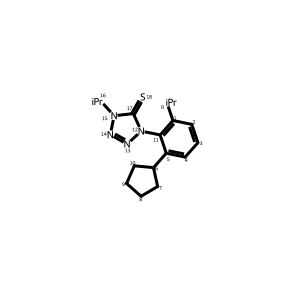 CC(C)c1cccc(C2CCCC2)c1-n1nnn(C(C)C)c1=S